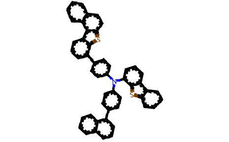 c1ccc2c(-c3ccc(N(c4ccc(-c5cccc6c5sc5ccc7ccccc7c56)cc4)c4cccc5c4sc4ccccc45)cc3)cccc2c1